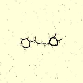 Cc1ccc(OCCNC2CCOCC2)cc1C